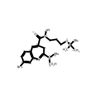 CCCN(CCCO[Si](C)(C)C(C)(C)C)C(=O)C1=Cc2ccc(Br)cc2N=C(N(C(=O)O)C(C)(C)C)C1